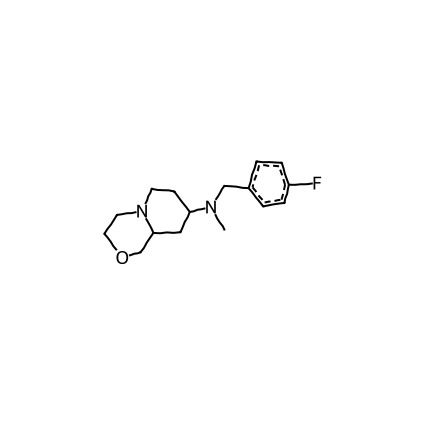 CN(Cc1ccc(F)cc1)C1CCN2CCOCC2C1